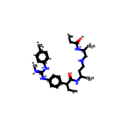 CC(C)CC(C(=O)NC(CCNCC(NC(=O)CC(C)(C)C)C(=O)O)C(=O)O)c1ccc(NC(=NC#N)Nc2ccc([N+](=O)[O-])cc2)cc1